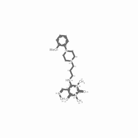 COc1ccccc1N1CCN(CCCNc2c(/C=N\O)c(=O)n(C)c(=O)n2C)CC1